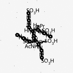 CCCOc1cc(N=Nc2ccc(N=Nc3ccccc3)cc2S(=O)(=O)O)c(C)cc1Nc1nc(Nc2ccc(N=Nc3ccc(N=Nc4ccc(S(=O)(=O)O)cc4)cc3)c(C)c2)nc(N2CC(C)N(c3nc(Cc4ccc(N=Nc5ccc(N=Nc6ccccc6)cc5S(=O)(=O)O)c(C)c4)nc(Cc4cc(NC(C)=O)c(N=Nc5ccc(N=Nc6ccc(S(=O)(=O)O)cc6)cc5)cc4OCCCS(=O)(=O)O)n3)C(C)C2)n1